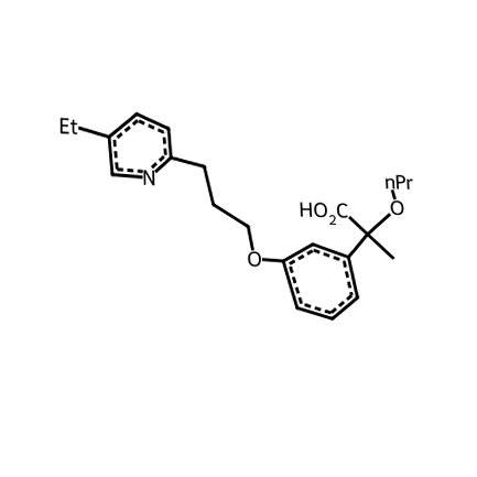 CCCOC(C)(C(=O)O)c1cccc(OCCCc2ccc(CC)cn2)c1